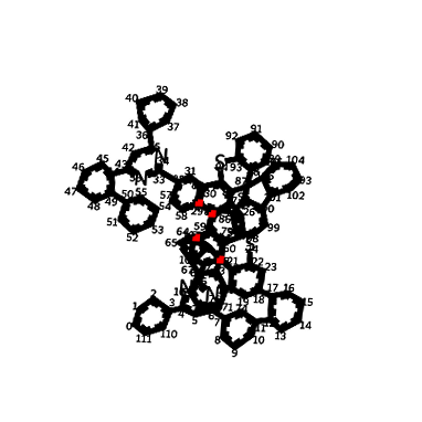 c1ccc(-c2cc(-c3cccc(-c4ccccc4-c4ccc5c(c4)Sc4ccc(-c6ccc(-c7nc(-c8ccccc8)cc(-c8ccccc8-c8ccccc8)n7)cc6)cc4C54c5ccccc5-c5ccccc54)c3)nc(-c3ccc(-c4ccc5c(c4)C4(c6ccccc6S5)c5ccccc5-c5ccccc54)cc3)n2)cc1